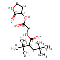 CC(C)(C)CC(C(=O)OCC(=O)OC1CCOC1=O)C(C)(C)C